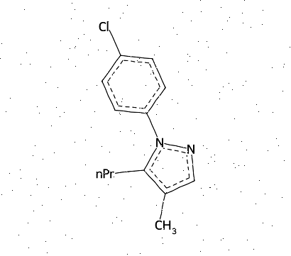 CCCc1c(C)cnn1-c1ccc(Cl)cc1